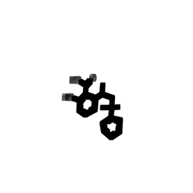 CC(CC(C)(C)c1ccccc1)c1cccc(O)c1C(=O)O